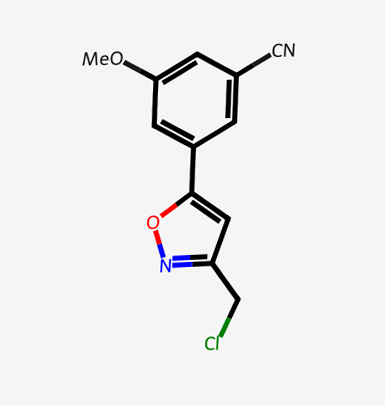 COc1cc(C#N)cc(-c2cc(CCl)no2)c1